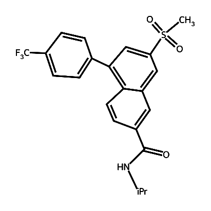 CC(C)NC(=O)c1ccc2c(-c3ccc(C(F)(F)F)cc3)cc(S(C)(=O)=O)cc2c1